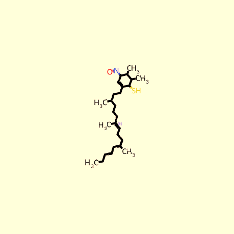 CCCCCC(C)CC/C=C(\C)CCCC(C)CCC1=CC(N=O)C(C)C(C)C1S